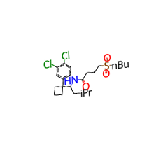 CCCCS(=O)(=O)CCCC(=O)NC(CC(C)C)C1(c2ccc(Cl)c(Cl)c2)CCC1